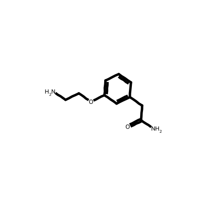 NCCOc1cccc(CC(N)=O)c1